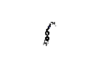 C=C/C=C/CCC1CCC(c2ccc(OC(F)(F)F)cc2)CC1